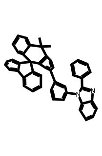 CC1(C)c2ccccc2C2(c3ccccc3-c3ccccc32)c2cc(-c3cccc(-n4c(-c5ccccc5)nc5ccccc54)c3)ccc21